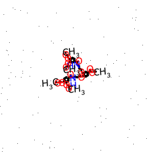 CCOC(=O)c1ccc(OCCCNC(=O)c2ccc(OCOC)c(OCOC)c2)c(OCCCNC(=O)c2ccc(OCOC)c(OCOC)c2)c1